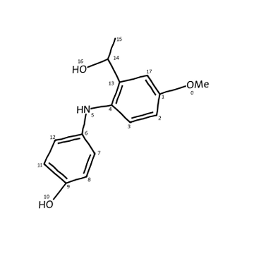 COc1ccc(Nc2ccc(O)cc2)c(C(C)O)c1